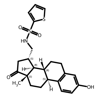 C[C@]12CC[C@@H]3c4ccc(O)cc4CC[C@H]3[C@@H]1[C@@H](CNS(=O)(=O)c1cccs1)CC2=O